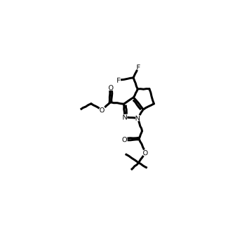 CCOC(=O)c1nn(CC(=O)OC(C)(C)C)c2c1C(C(F)F)CC2